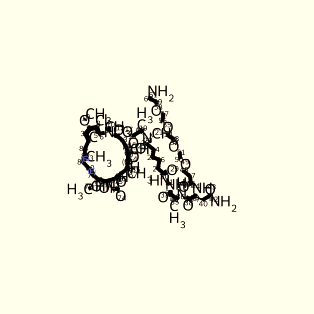 COc1cc2cc(c1Cl)N(C)C(=O)C[C@H](OC(=O)[C@H](C)N(C)C(=O)CCCCC(=O)NNC(=O)[C@H](C)NC(=O)[C@H](CC(N)=O)NC(=O)CCOCCOCCOCCOCCN)[C@]1(C)O[C@H]1[C@H](C)[C@@H]1C[C@@](O)(NC(=O)O1)[C@H](OC)/C=C/C=C(\C)C2